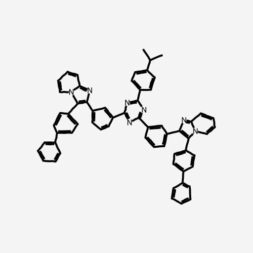 CC(C)c1ccc(-c2nc(-c3cccc(-c4nc5ccccn5c4-c4ccc(-c5ccccc5)cc4)c3)nc(-c3cccc(-c4nc5ccccn5c4-c4ccc(-c5ccccc5)cc4)c3)n2)cc1